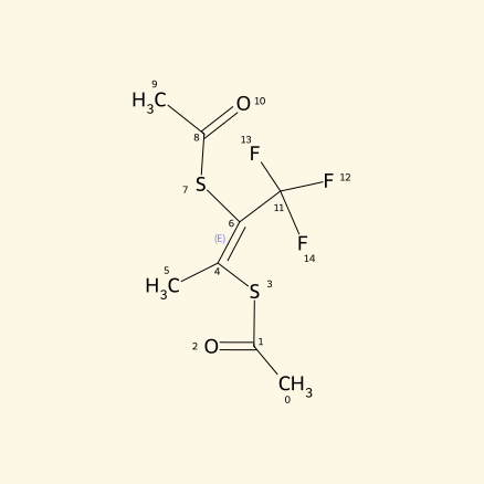 CC(=O)S/C(C)=C(/SC(C)=O)C(F)(F)F